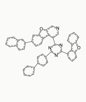 c1ccc(-c2ccc(-c3nc(-c4cccc5oc6ccccc6c45)nc(-c4cncc5oc6cc(-c7ccc8ccccc8c7)ccc6c45)n3)cc2)cc1